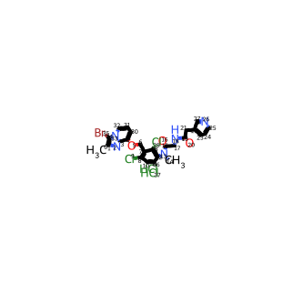 Cc1nc2c(OCc3c(Cl)ccc(N(C)C(=O)CNC(=O)Cc4cccnc4)c3Cl)cccn2c1Br.Cl.Cl